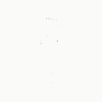 Cc1ccn2c(C[C@H]3CN(C(=O)O)CCO3)c(-c3c(F)cc(-n4ccnc4)cc3F)nc2c1